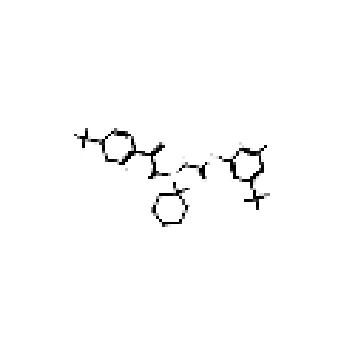 C=C(C(=O)N(CC(=O)Nc1cc(Br)cc(C(F)(F)F)c1)C1(N)CCCCC1)C1=CCC(C(F)(F)F)C=C1